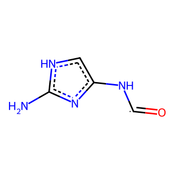 Nc1nc(N[C]=O)c[nH]1